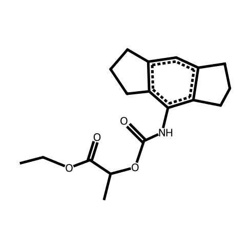 CCOC(=O)C(C)OC(=O)Nc1c2c(cc3c1CCC3)CCC2